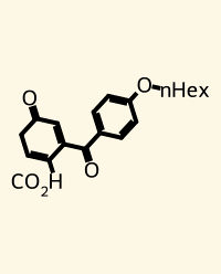 CCCCCCOc1ccc(C(=O)C2=CC(=O)CC=C2C(=O)O)cc1